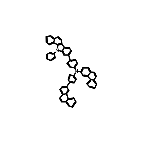 c1ccc(-n2c3cc(-c4ccc(N(c5ccc(-c6ccc7ccc8ccccc8c7c6)cc5)c5ccc6ccc7ccccc7c6c5)cc4)ccc3c3ccc4ccccc4c32)cc1